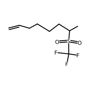 C=CCCCCC(C)S(=O)(=O)C(F)(F)F